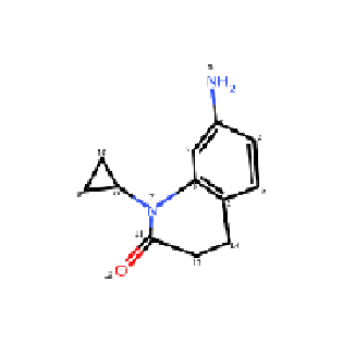 Nc1ccc2c(c1)N(C1CC1)C(=O)CC2